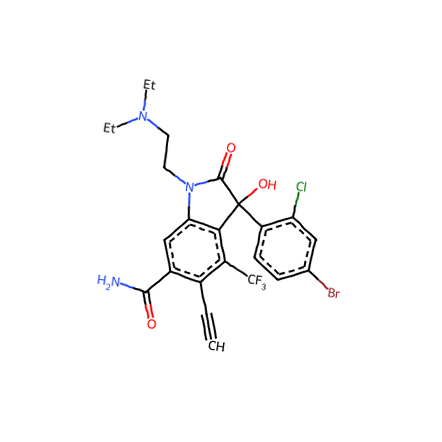 C#Cc1c(C(N)=O)cc2c(c1C(F)(F)F)C(O)(c1ccc(Br)cc1Cl)C(=O)N2CCN(CC)CC